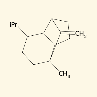 C=C1C2CCC3C2C(C(C)C)CCC13C